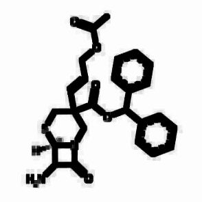 CC(=O)OCC=CC1(C(=O)OC(c2ccccc2)c2ccccc2)CS[C@@H]2C(N)C(=O)N2C1